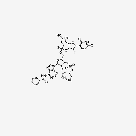 C=CCOP(=O)(OCCC#N)OC1C(COP(=S)(CCCC#N)OC2C(CO)OC(n3ccc(=O)[nH]c3=O)C2F)OC(n2cnc3c(NC(=O)c4ccccc4)ncnc32)C1F